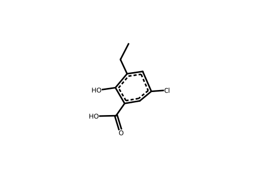 CCc1cc(Cl)cc(C(=O)O)c1O